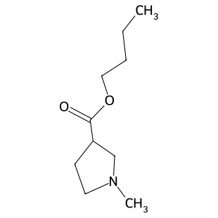 CCCCOC(=O)C1CCN(C)C1